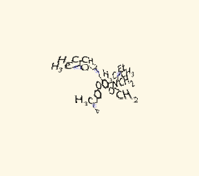 C=CC(=O)N(Cc1ccc(Oc2ccc(C/C(C)=C\C3CC3)cc2)c(C/C=C\CCO/C(=C/C)C(=C)C)c1)C(=C)/C(C)=C(\C)CC